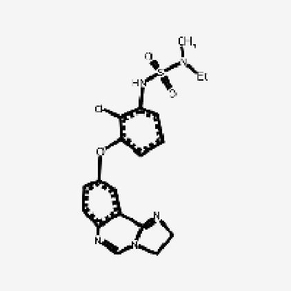 CCN(C)S(=O)(=O)Nc1cccc(Oc2ccc3c(c2)C2=NCCN2C=N3)c1Cl